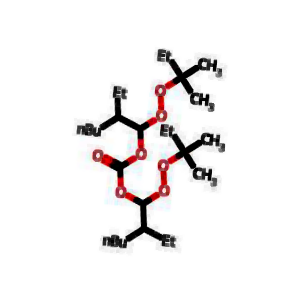 CCCCC(CC)C(OOC(C)(C)CC)OC(=O)OC(OOC(C)(C)CC)C(CC)CCCC